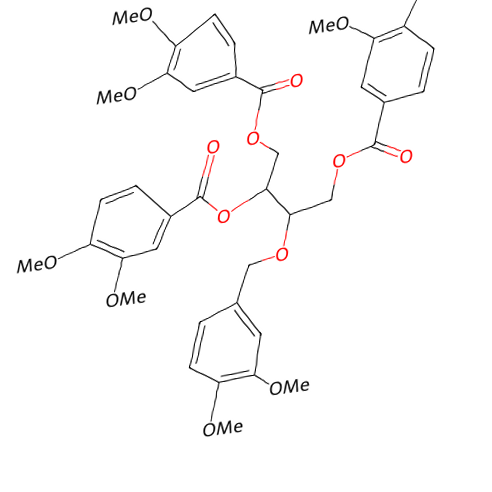 COc1ccc(COC(COC(=O)c2ccc(OC)c(OC)c2)C(COC(=O)c2ccc(OC)c(OC)c2)OC(=O)c2ccc(OC)c(OC)c2)cc1OC